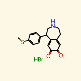 Br.CSc1ccc(C2CNCCC3=CC(=O)C(=O)C=C32)cc1